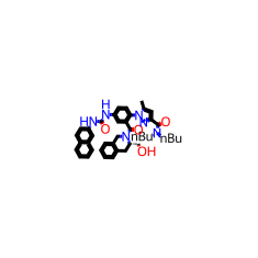 CCCCN(CCCC)C(=O)c1cc(C)n(-c2ccc(NC(=O)Nc3ccc4ccccc4c3)cc2C(=O)N2Cc3ccccc3C[C@H]2CO)n1